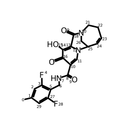 Cc1cc(F)c(CNC(=O)c2cn3c(c(O)c2=O)C(=O)N2CCC=CC3C2)c(F)c1